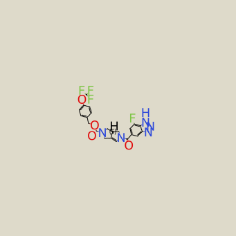 O=C(c1cc(F)c2[nH]nnc2c1)N1C=C2CN(C(=O)OCc3ccc(OC(F)(F)F)cc3)C[C@@H]2C1